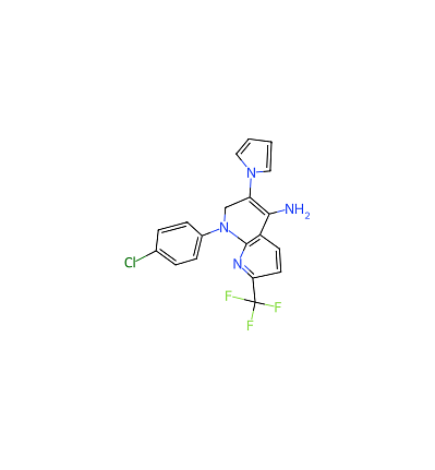 NC1=C(n2cccc2)CN(c2ccc(Cl)cc2)c2nc(C(F)(F)F)ccc21